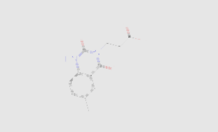 Cc1ccc2[nH]c(=O)n(CCC(=O)O)c(=O)c2c1